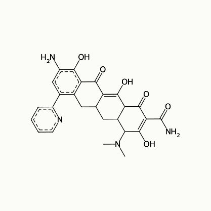 CN(C)C1C(O)=C(C(N)=O)C(=O)C2C(O)=C3C(=O)c4c(O)c(N)cc(-c5ccccn5)c4CC3CC21